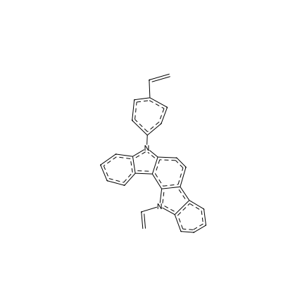 C=Cc1ccc(-n2c3ccccc3c3c4c(ccc32)c2ccccc2n4C=C)cc1